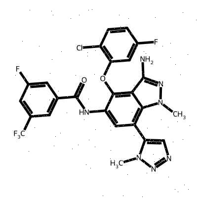 Cn1nncc1-c1cc(NC(=O)c2cc(F)cc(C(F)(F)F)c2)c(Oc2cc(F)ccc2Cl)c2c(N)nn(C)c12